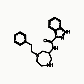 O=C(NC1CNCCN(CCc2ccccc2)C1)c1n[nH]c2ccccc12